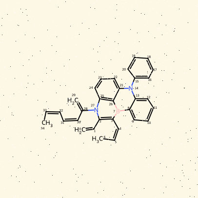 C=CC1=C(/C=C\C)B2c3ccccc3N(c3ccccc3)c3cccc(c32)N1C(=C)/C=C\C=C/C